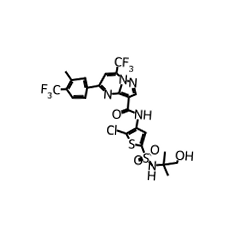 Cc1cc(-c2cc(C(F)(F)F)n3ncc(C(=O)Nc4cc(S(=O)(=O)NC(C)(C)CO)sc4Cl)c3n2)ccc1C(F)(F)F